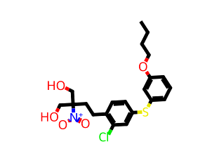 CCCCOc1cccc(Sc2ccc(CCC(CO)(CO)[N+](=O)[O-])c(Cl)c2)c1